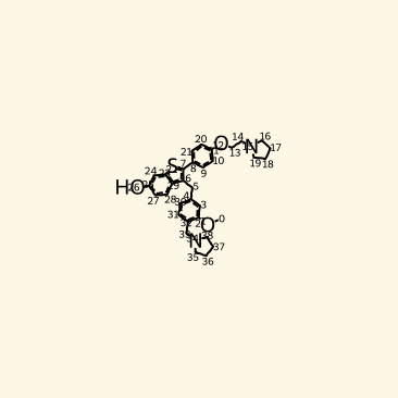 COc1cc(Cc2c(-c3ccc(OCCN4CCCC4)cc3)sc3cc(O)ccc23)ccc1CN1CCCC1